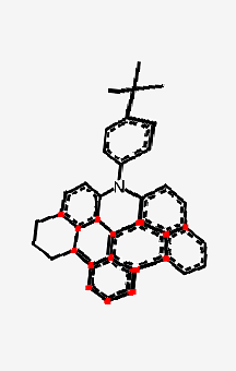 CC1CC=c2cccc(-c3ccccc3)c2=C1c1ccccc1N(c1ccc(C(C)(C)C)cc1)c1ccccc1-c1cccc2cccc(C3CCCCC3)c12